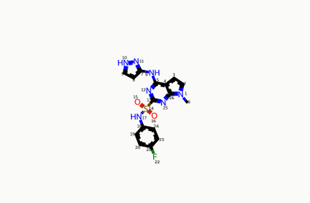 Cn1ccc2c(Nc3cc[nH]n3)nc(S(=O)(=O)Nc3ccc(F)cc3)nc21